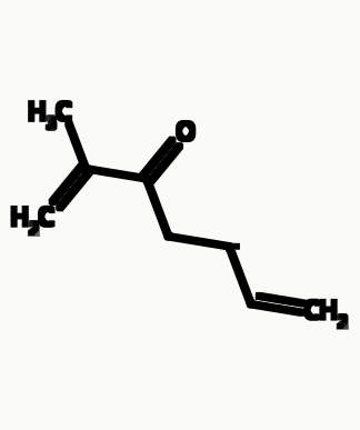 C=C[CH]CC(=O)C(=C)C